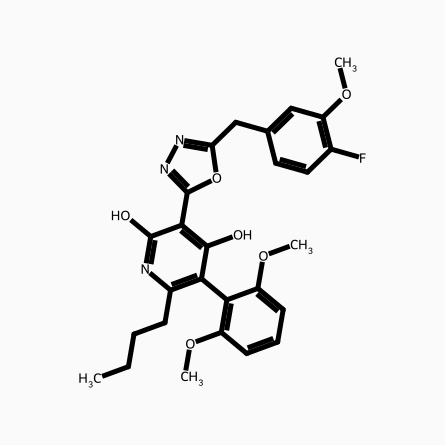 CCCCc1nc(O)c(-c2nnc(Cc3ccc(F)c(OC)c3)o2)c(O)c1-c1c(OC)cccc1OC